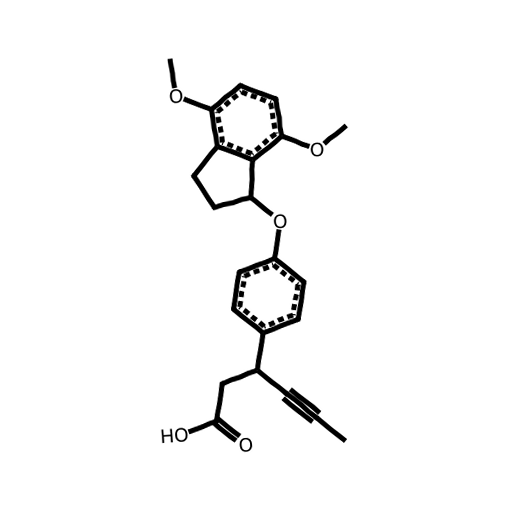 CC#CC(CC(=O)O)c1ccc(OC2CCc3c(OC)ccc(OC)c32)cc1